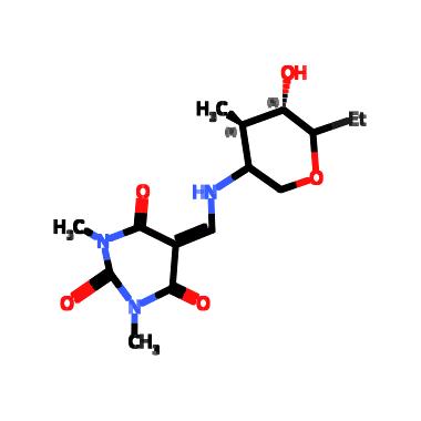 CCC1OCC(NC=C2C(=O)N(C)C(=O)N(C)C2=O)[C@@H](C)[C@@H]1O